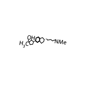 CNCCCCC[C@@H]1CCc2cc([C@H]3CC[C@](C)(CO)C3)ccc2C1